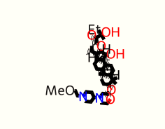 CCO[C@@H]([C@H]1C[C@@H](C)[C@H]2[C@H](O1)[C@H](O)[C@@]1(C)[C@@H]3CC[C@H]4C(C)(C)[C@@H](O[C@H]5CN(C6CCN(CCOC)CC6)CCO5)CC[C@@]45C[C@@]35CC[C@]21C)C(C)(C)O